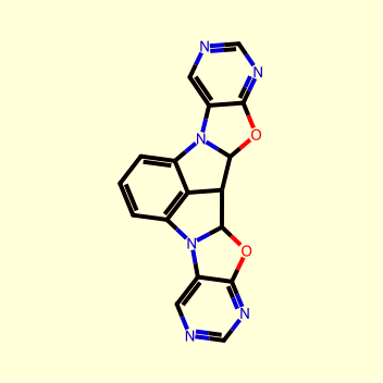 c1cc2c3c(c1)N1c4cncnc4OC1C3C1Oc3ncncc3N21